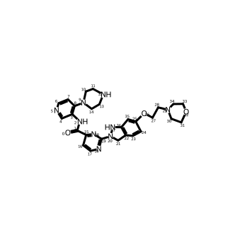 O=C(Nc1cnccc1N1CCNCC1)c1ccnc(N2Cc3ccc(OCCN4CCOCC4)cc3N2)n1